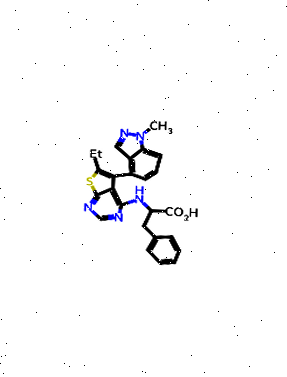 CCc1sc2ncnc(NC(Cc3ccccc3)C(=O)O)c2c1-c1cccc2c1cnn2C